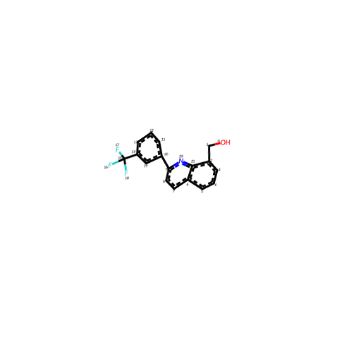 OCc1cccc2ccc(-c3cccc(C(F)(F)F)c3)nc12